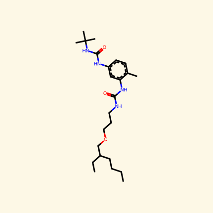 CCCCC(CC)COCCCNC(=O)Nc1cc(NC(=O)NC(C)(C)C)ccc1C